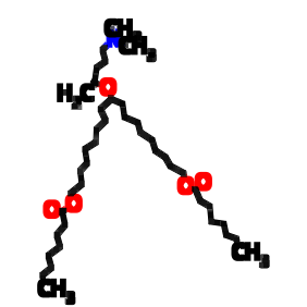 C=C(CCCN(C)C)OC(CCCCCCCCCOC(=O)CCCCCCC)CCCCCCCCCOC(=O)CCCCCCC